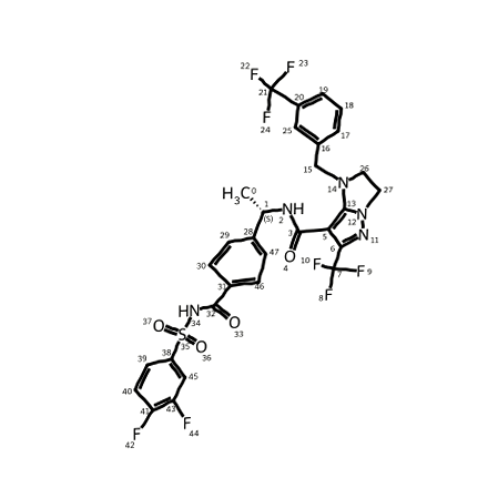 C[C@H](NC(=O)c1c(C(F)(F)F)nn2c1N(Cc1cccc(C(F)(F)F)c1)CC2)c1ccc(C(=O)NS(=O)(=O)c2ccc(F)c(F)c2)cc1